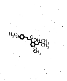 COc1ccc(C=CC(=O)c2ccc(OC)c(CC=C(C)C)c2O)cc1